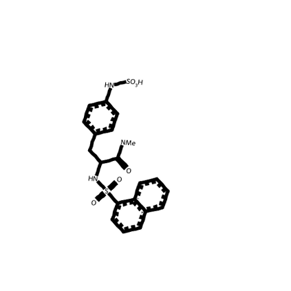 CNC(=O)C(Cc1ccc(NS(=O)(=O)O)cc1)NS(=O)(=O)c1cccc2ccccc12